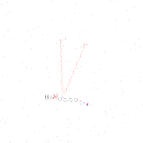 COCCOCCOCCOCCOCCOCCOCCOCCOCCOCCOCCOCCCC1(CCCOCCOCCOCCOCCOCCOCCOCCOCCOCCOCCOCCOC)c2cc(B3OC(C)(C)C(C)(C)O3)ccc2-c2ccc(-c3cc(F)c(-c4ccc(OCCCCNC(C)=O)cc4)cc3F)cc21